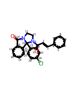 O=C(C=Cc1ccccc1)N1CCN2C(=O)c3ccccc3C12c1ccc(Cl)cc1